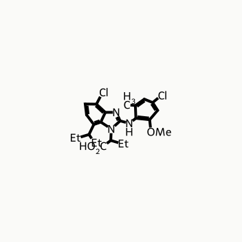 CCC(CC)c1ccc(Cl)c2nc(Nc3c(C)cc(Cl)cc3OC)n(C(CC)C(=O)O)c12